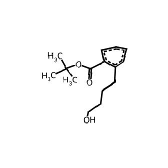 CC(C)(C)OC(=O)c1ccccc1CCCCO